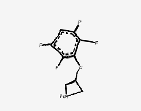 Fc1cc(F)c(F)c(OC2CNC2)c1F